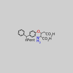 CCCCCC(c1ccccc1)c1ccc(OC(CC(=O)O)C(N)C(=O)O)cc1